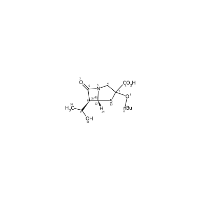 CCCCOC1(C(=O)O)CN2C(=O)[C@H](C(C)O)[C@H]2S1